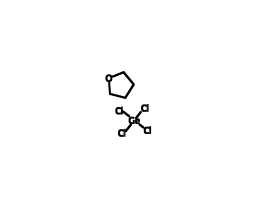 C1CCOC1.[Cl][Ge]([Cl])([Cl])[Cl]